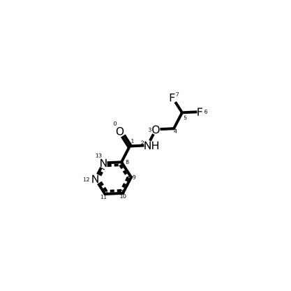 O=C(NOCC(F)F)c1cccnn1